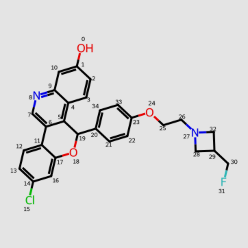 Oc1ccc2c3c(cnc2c1)-c1ccc(Cl)cc1OC3c1ccc(OCCN2CC(CF)C2)cc1